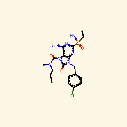 CCCN(C)C(=O)n1c(=O)n(Cc2ccc(Cl)cc2)c2nc(S(=N)(=O)CC)nc(N)c21